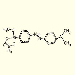 CO[Si](OC)(OC)c1ccc(/N=N/c2ccc(N(C)C)cc2)cc1